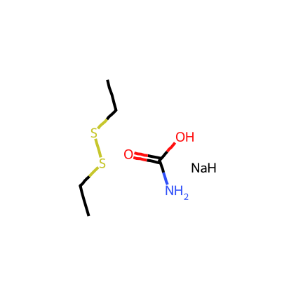 CCSSCC.NC(=O)O.[NaH]